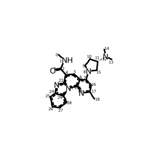 CNC(=O)c1cc2c(N3CC[C@H](N(C)C)C3)cc(C)nc2n2c1nc1ccccc12